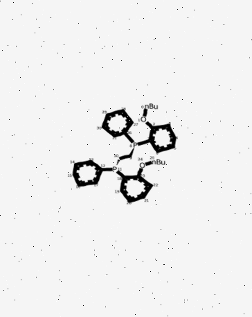 CCCCOc1ccccc1[P@@](CC[P@@](c1ccccc1)c1ccccc1OCCCC)c1ccccc1